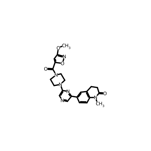 COc1cc(C(=O)N2CCN(c3cncc(-c4ccc5c(c4)CCC(=O)N5C)n3)CC2)on1